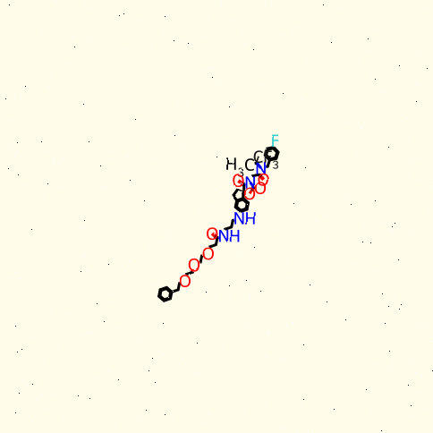 C[C@H](N(Cc1ccc(F)cc1)C(=O)CN1C(=O)O[C@@]2(CCc3cc(NCCCNC(=O)CCOCCOCCOCCc4ccccc4)ccc32)C1=O)C(F)(F)F